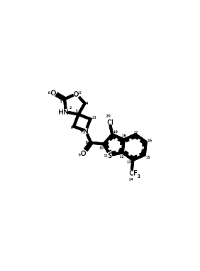 O=C1NC2(CO1)CN(C(=O)c1sc3c(C(F)(F)F)cccc3c1Cl)C2